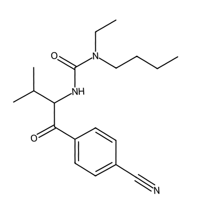 CCCCN(CC)C(=O)NC(C(=O)c1ccc(C#N)cc1)C(C)C